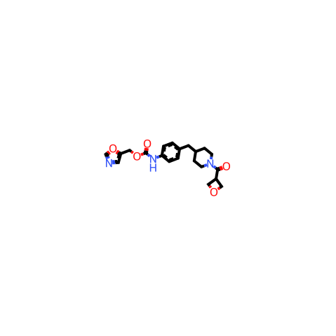 O=C(Nc1ccc(CC2CCN(C(=O)C3COC3)CC2)cc1)OCc1cnco1